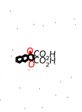 O=C(O)C1=C(C(=O)O)C(=O)c2cc3ccccc3cc2C1=O